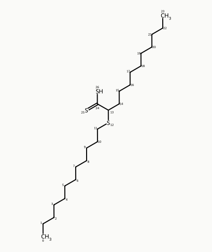 CCCCCCCCCCCCSC(CCCCCCCCCC)C(=S)S